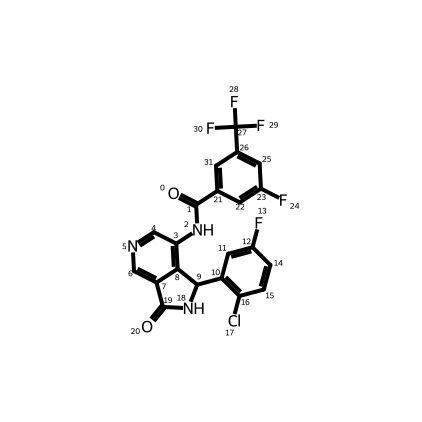 O=C(Nc1cncc2c1C(c1cc(F)ccc1Cl)NC2=O)c1cc(F)cc(C(F)(F)F)c1